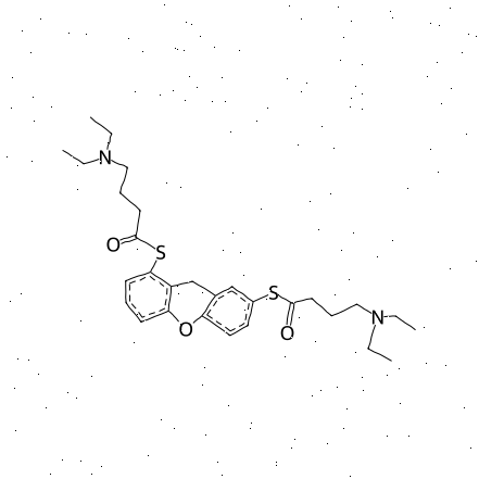 CCN(CC)CCCC(=O)Sc1ccc2c(c1)Cc1c(cccc1SC(=O)CCCN(CC)CC)O2